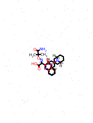 CC(C)(O/N=C(\C(=O)O)c1nc2ccccc2n([C@H]2C[C@H]3CCC[C@@H](C2)N3C2C[C@H]3CCC[C@@H](C2)C3)c1=O)C(N)=O